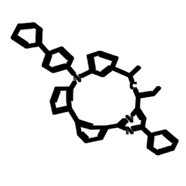 C/C=C1\CC(C)c2cccc(c2)N(c2ccc(-c3ccccc3)cc2)c2cccc(c2)-c2cccc(c2)-c2nc1cc(-c1ccccc1)n2